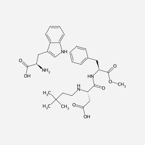 COC(=O)[C@H](Cc1ccccc1)NC(=O)[C@H](CC(=O)O)NCCC(C)(C)C.N[C@H](Cc1c[nH]c2ccccc12)C(=O)O